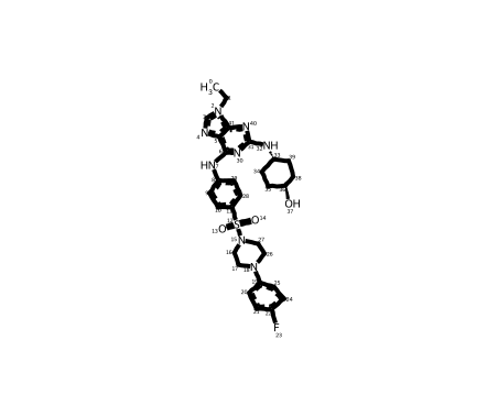 CCn1cnc2c(Nc3ccc(S(=O)(=O)N4CCN(c5ccc(F)cc5)CC4)cc3)nc(N[C@H]3CC[C@H](O)CC3)nc21